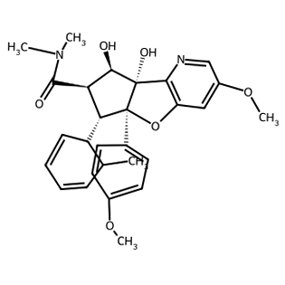 COc1ccc([C@@]23Oc4cc(OC)cnc4[C@]2(O)[C@H](O)[C@H](C(=O)N(C)C)[C@H]3C2C=CC=CC2C)cc1